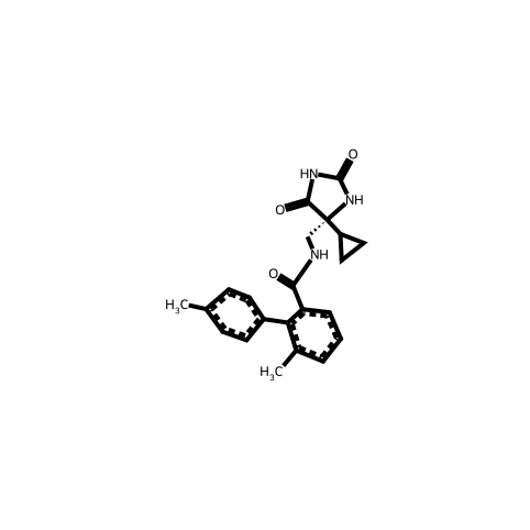 Cc1ccc(-c2c(C)cccc2C(=O)NC[C@@]2(C3CC3)NC(=O)NC2=O)cc1